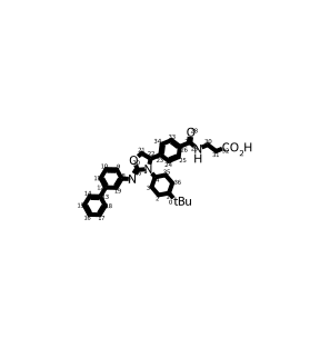 CC(C)(C)C1CCC(N2C(=Nc3cccc(-c4ccccc4)c3)OCC2c2ccc(C(=O)NCCC(=O)O)cc2)CC1